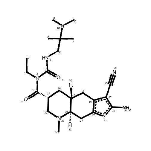 CCN(C(=O)NCC(C)(C)N(C)C)C(=O)[C@@H]1C[C@@H]2Cc3c(sc(N)c3C#N)C[C@H]2N(C)C1